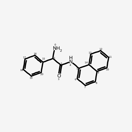 NC(C(=O)Nc1cccc2ccccc12)c1ccccc1